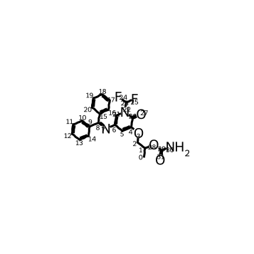 CC(COc1cc(N=C(c2ccccc2)c2ccccc2)cn(C(F)F)c1=O)OC(N)=O